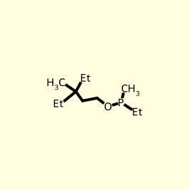 CCP(C)OCCC(C)(CC)CC